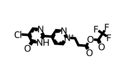 O=C(CC[n+]1ccc(-c2ncc(Cl)c(=O)[nH]2)cn1)OC(=O)C(F)(F)F